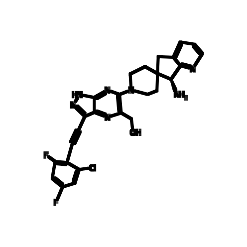 N[C@@H]1c2ncccc2CC12CCN(c1nc3[nH]nc(C#Cc4c(F)cc(F)cc4Cl)c3nc1CO)CC2